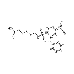 O=C(O)CCCCCNS(=O)(=O)c1ccc([N+](=O)[O-])cc1Cc1ccccc1